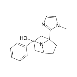 Cn1ccnc1C12CCC(CC(O)C1)N2Cc1ccccc1